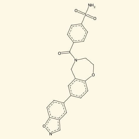 NS(=O)(=O)c1ccc(C(=O)N2CCOc3ccc(-c4ccc5oncc5c4)cc3C2)cc1